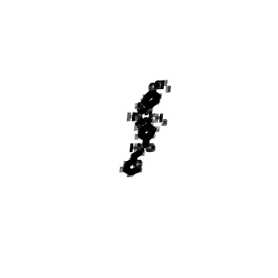 Cn1c(Nc2nc3ccc(OC(F)(F)F)cc3s2)nc2cc(C(=O)NCCC3CCCCO3)ccc21